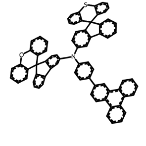 c1ccc2c(c1)Oc1ccccc1C21c2ccccc2-c2cc(N(c3ccc(-c4ccc5c6ccccc6c6ccccc6c5c4)cc3)c3ccc4c(c3)-c3ccccc3C43c4ccccc4Sc4ccccc43)ccc21